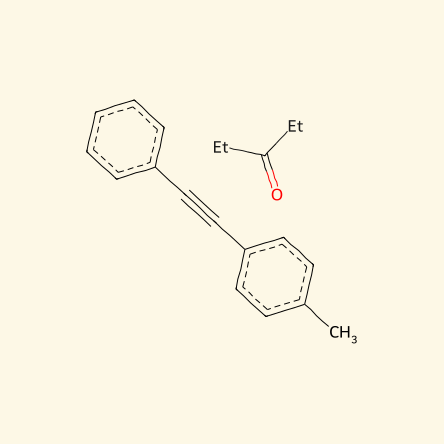 CCC(=O)CC.Cc1ccc(C#Cc2ccccc2)cc1